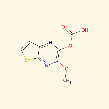 COc1nc2sccc2nc1OC(=O)O